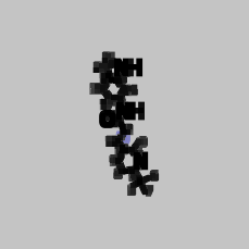 Cc1nc(C(C)(C)C)ccc1/C=C/C(=O)Nc1ccc2cc[nH]c2c1